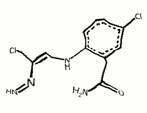 N=N/C(Cl)=C\Nc1ccc(Cl)cc1C(N)=O